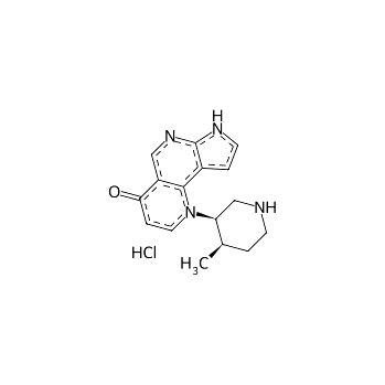 C[C@@H]1CCNC[C@@H]1n1ccc(=O)c2cnc3[nH]ccc3c21.Cl